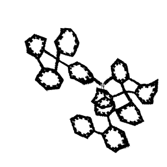 c1ccc(-c2ccccc2-c2ccc(N(c3ccc(C4(c5ccccc5)c5ccccc5-c5ccccc54)cc3)c3cccc4c3C(c3ccccc3)(c3ccccc3)c3ccccc3-4)cc2)cc1